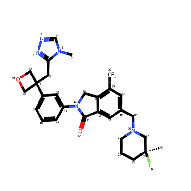 Cn1cnnc1CC1(c2cccc(N3Cc4c(cc(CN5CCC[C@](C)(F)C5)cc4C(F)(F)F)C3=O)c2)COC1